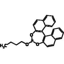 CCCCOp1oc2ccc3ccccc3c2c2c(ccc3ccccc32)o1